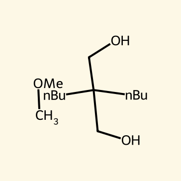 CCCCC(CO)(CO)CCCC.COC